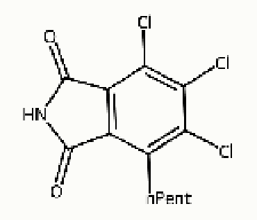 CCCCCc1c(Cl)c(Cl)c(Cl)c2c1C(=O)NC2=O